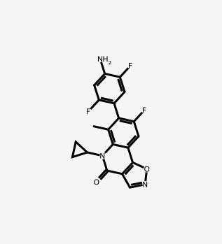 Cc1c(-c2cc(F)c(N)cc2F)c(F)cc2c3oncc3c(=O)n(C3CC3)c12